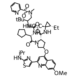 CC[C@H]1C[C@]1(NC(=O)[C@@H]1C[C@@H](Oc2cc(-c3csc(NC(C)C)n3)nc3cc(OC)ccc23)CN1C(=O)[C@@H](NC(=O)NC(CN(C)S(=O)(=O)c1ccccn1)C(C)(C)C)C1CCCC1)C(=O)O